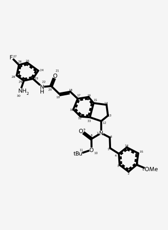 COc1ccc(CCN(C(=O)OC(C)(C)C)C2CCc3cc(/C=C/C(=O)Nc4ccc(F)cc4N)ccc32)cc1